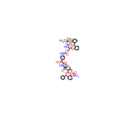 CC(C)(C)OC(=O)NC(COC(=O)Nc1ccc([C@@H](O)C(=O)N[C@@H]2C(=O)N3C(C(=O)OC(c4ccccc4)c4ccccc4)=C(COC(N)=O)CS[C@H]23)cc1)C(=O)OC(c1ccccc1)c1ccccc1